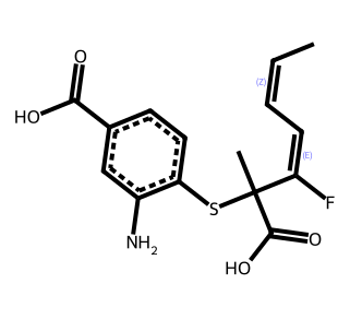 C/C=C\C=C(\F)C(C)(Sc1ccc(C(=O)O)cc1N)C(=O)O